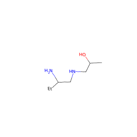 CCC(N)CNCC(C)O